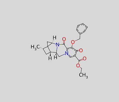 CCOC(=O)c1cn2c(c(OCc3ccccc3)c1=O)C(=O)N1[C@H](C2)[C@@H]2C[C@H](C)C23C[C@@H]13